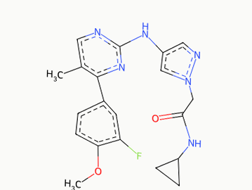 COc1ccc(-c2nc(Nc3cnn(CC(=O)NC4CC4)c3)ncc2C)cc1F